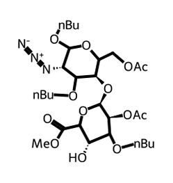 CCCCOC1OC(COC(C)=O)[C@@H](O[C@@H]2OC(C(=O)OC)[C@@H](O)C(OCCCC)[C@@H]2OC(C)=O)C(OCCCC)[C@@H]1N=[N+]=[N-]